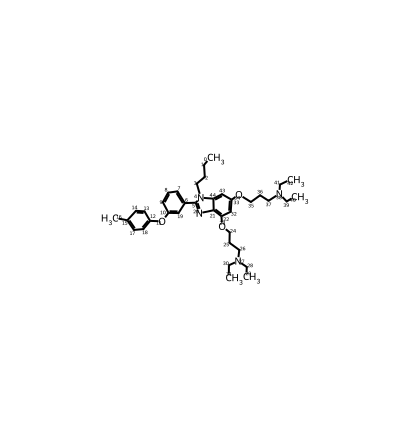 CCCCn1c(-c2cccc(Oc3ccc(C)cc3)c2)nc2c(OCCCN(CC)CC)cc(OCCCN(CC)CC)cc21